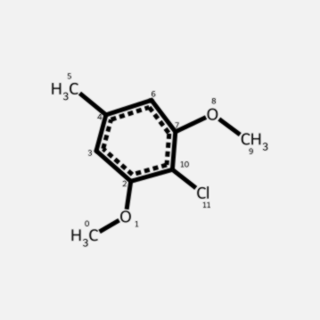 COc1cc(C)cc(OC)c1Cl